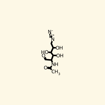 CC(=O)NC(C=O)C(O)C(O)C(O)CN=[N+]=[N-]